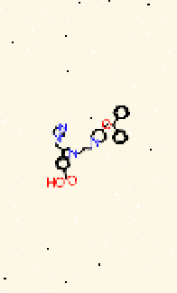 O=C(O)c1ccc2c(Cn3ccnc3)cn(CCCN3CCC(OC(c4ccccc4)c4ccccc4)CC3)c2c1